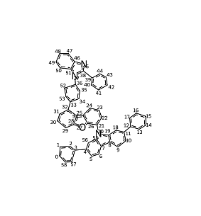 c1ccc(-c2ccc3c4ccc(-c5ccccc5)cc4n(-c4cccc5c4oc4cccc(-c6ccc(-n7c(-c8ccccc8)nc8ccccc87)cc6)c45)c3c2)cc1